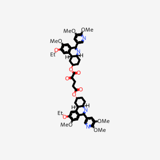 CCOc1cc2c(cc1OC)C(c1cnc(OC)c(OC)c1)=N[C@@H]1CC[C@@H](OC(=O)CCC(=O)C(=O)O[C@@H]3CC[C@H]4N=C(c5cnc(OC)c(OC)c5)c5cc(OC)c(OCC)cc5[C@H]4C3)C[C@H]21